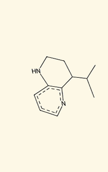 CC(C)C1CCNc2cccnc21